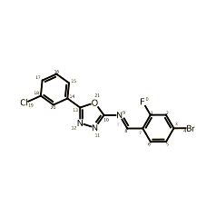 Fc1cc(Br)ccc1/C=N/c1nnc(-c2cccc(Cl)c2)o1